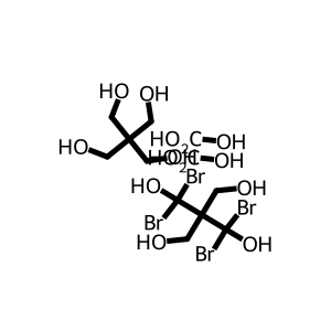 O=C(O)O.O=C(O)O.OCC(CO)(C(O)(Br)Br)C(O)(Br)Br.OCC(CO)(CO)CO